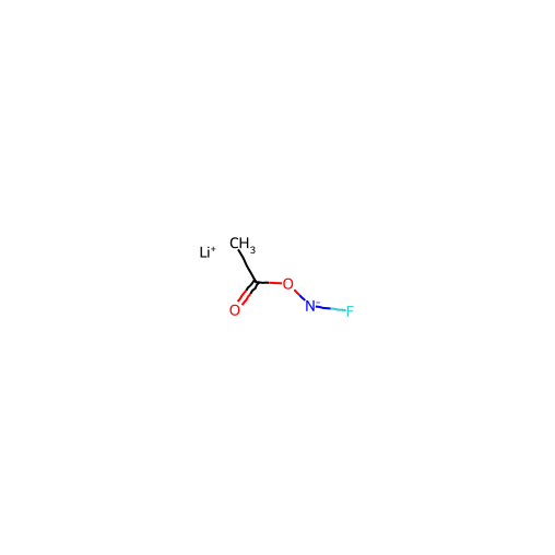 CC(=O)O[N-]F.[Li+]